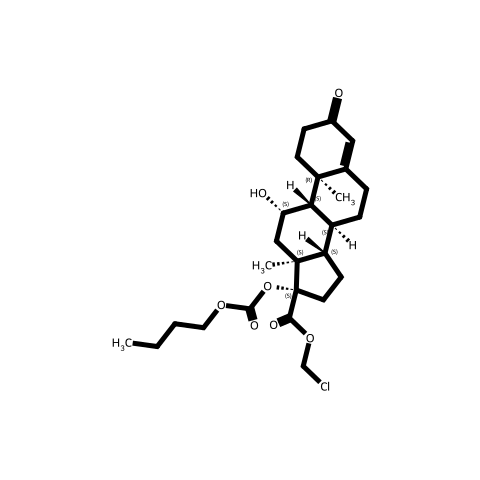 CCCCOC(=O)O[C@@]1(C(=O)OCCl)CC[C@H]2[C@@H]3CCC4=CC(=O)CC[C@]4(C)[C@H]3[C@@H](O)C[C@@]21C